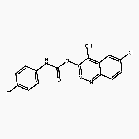 O=C(Nc1ccc(F)cc1)Oc1nnc2ccc(Cl)cc2c1O